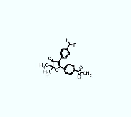 CC1(C)OC(c2ccc(S(C)(=O)=O)cc2)=C(c2ccc(C(F)F)cc2)C1=O